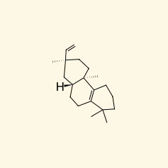 C=C[C@@]1(C)CC[C@@]2(C)C3=C(CC[C@@H]2C1)C(C)(C)CCC3